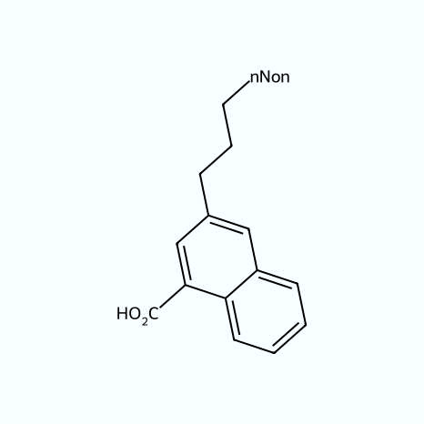 CCCCCCCCCCCCc1cc(C(=O)O)c2ccccc2c1